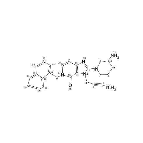 CC#CCn1c(N2CCCC(N)C2)nc2cnn(Cc3cncc4ccccc34)c(=O)c21